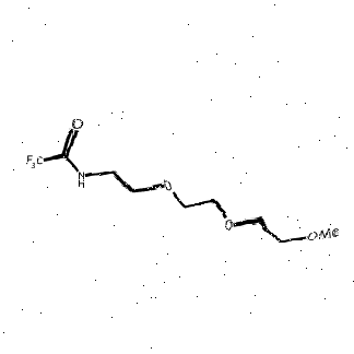 COCCOCCOCCNC(=O)C(F)(F)F